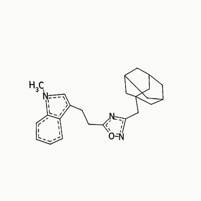 Cn1cc(CCc2nc(CC34CC5CC(CC(C5)C3)C4)no2)c2ccccc21